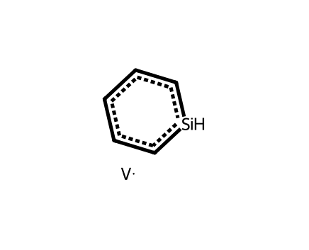 [V].c1cc[siH]cc1